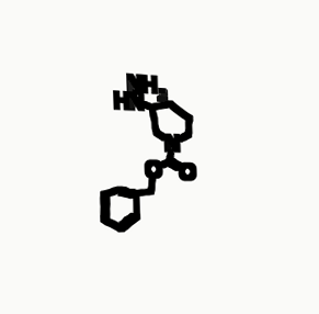 NNC1CCCN(C(=O)OCc2ccccc2)C1